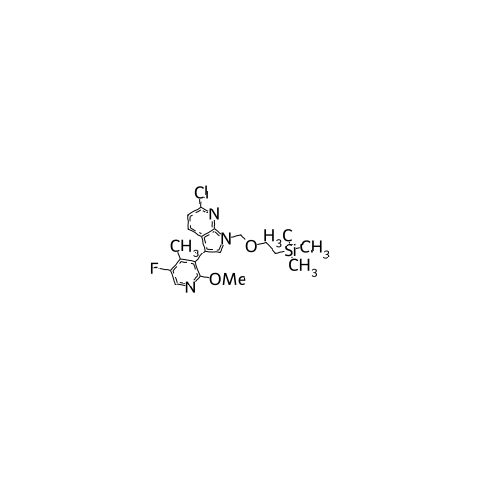 COc1ncc(F)c(C)c1-c1cn(COCC[Si](C)(C)C)c2nc(Cl)ccc12